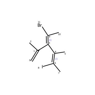 C=C(C)C(/C(C)=C(/C)I)=C(/C)Br